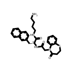 NCCCCNC(=O)[C@@H](Cc1ccc2ccccc2c1)NC(=O)CN1C(=O)CCSc2ccccc21